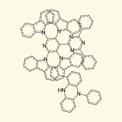 c1ccc(-c2nc(-c3ccccc3)nc(-c3c(-n4c5ccccc5c5ccccc54)c(-n4c5ccccc5c5ccccc54)nc(-n4c5ccccc5c5ccc(-c6cccc7c6Nc6ccccc6N7c6ccccc6)cc54)c3-n3c4ccccc4c4ccccc43)n2)cc1